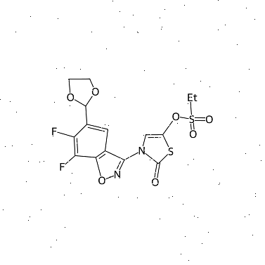 CCS(=O)(=O)Oc1cn(-c2noc3c(F)c(F)c(C4OCCO4)cc23)c(=O)s1